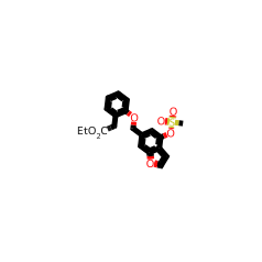 CCOC(=O)Cc1ccccc1OCc1cc(OS(C)(=O)=O)c2ccoc2c1